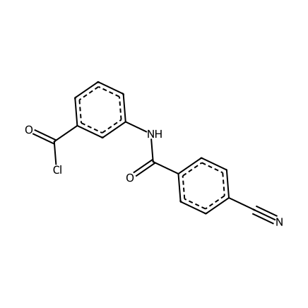 N#Cc1ccc(C(=O)Nc2cccc(C(=O)Cl)c2)cc1